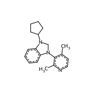 Cc1ccnc(C)c1N1CN(C2CCCC2)c2ccccc21